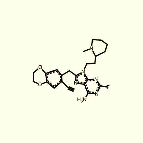 C#Cc1cc2c(cc1Cc1nc3c(N)nc(F)nc3n1CCC1CCCCN1C)OCCO2